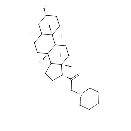 C[C@]12CC[C@H](O)C[C@@H]1CC[C@@H]1[C@@H]2CC[C@]2(C)[C@@H](C(=O)CN3CCCCC3)CC[C@@H]12